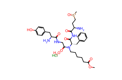 COC(=O)CCCCCN(C(=O)CNC(=O)[C@@H](N)Cc1ccc(O)cc1)[C@@H](Cc1ccccc1)C(=O)NC(=O)C(N)CC[S+](C)[O-].Cl.O